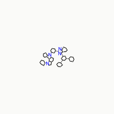 c1ccc(-c2cc(-c3ccccc3)cc(-c3nc(-c4cccc(-n5c6ccccc6c6c7c(ccc65)ccn7-c5ccccc5)c4)nc4ccccc34)c2)cc1